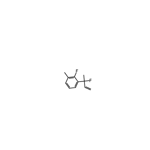 C=CC(C)(F)c1cccc(C)c1F